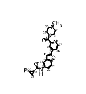 CN1CCN(C(=O)c2cc(-c3cc4cc(NC(=O)[C@@H]5C[C@@H]5F)ccc4o3)ccn2)CC1